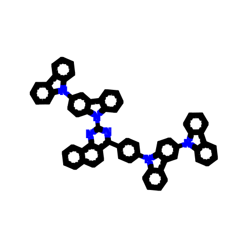 c1ccc2c(c1)ccc1c(-c3ccc(-n4c5ccccc5c5cc(-n6c7ccccc7c7ccccc76)ccc54)cc3)nc(-n3c4ccccc4c4cc(-n5c6ccccc6c6ccccc65)ccc43)nc12